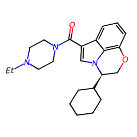 CCN1CCN(C(=O)c2cn3c4c(cccc24)OC[C@H]3C2CCCCC2)CC1